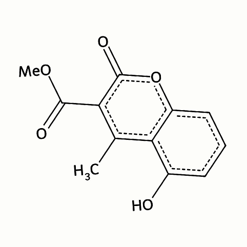 COC(=O)c1c(C)c2c(O)cccc2oc1=O